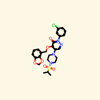 CC(C)S(=O)(=O)N1CCN(c2cnn(-c3cccc(Cl)c3)c(=O)c2OCc2cccc3c2OCO3)CC1